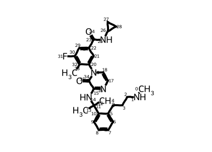 CNCCCc1ccccc1C(C)(C)Nc1nccn(-c2cc(C(=O)NC3CC3)cc(F)c2C)c1=O